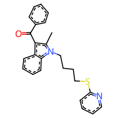 Cc1c(C(=O)c2ccccc2)c2ccccc2n1CCCCSc1ccccn1